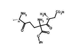 CC(C)OC(=O)C(N)(CCC(=O)[C@H](C)N)C(=O)[C@H](N)CC(=O)O